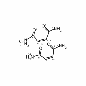 NC(=O)/C=C\C(N)=O.NC(=O)/C=C\C(N)=O.[C]